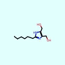 CCCCCCc1nc(CO)c(CO)[nH]1